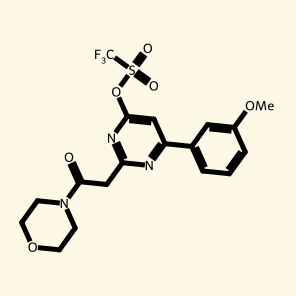 COc1cccc(-c2cc(OS(=O)(=O)C(F)(F)F)nc(CC(=O)N3CCOCC3)n2)c1